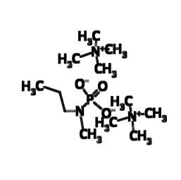 CCCN(C)P(=O)([O-])[O-].C[N+](C)(C)C.C[N+](C)(C)C